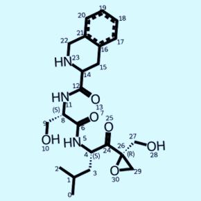 CC(C)C[C@H](NC(=O)[C@H](CO)NC(=O)C1Cc2ccccc2CN1)C(=O)[C@@]1(CO)CO1